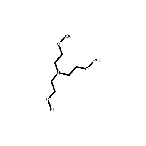 CCOCCN(CCOC(C)(C)C)CCOC(C)(C)C